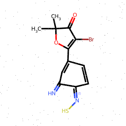 CC1(C)OC(C2=CC(=N)/C(=N\S)C=C2)=C(Br)C1=O